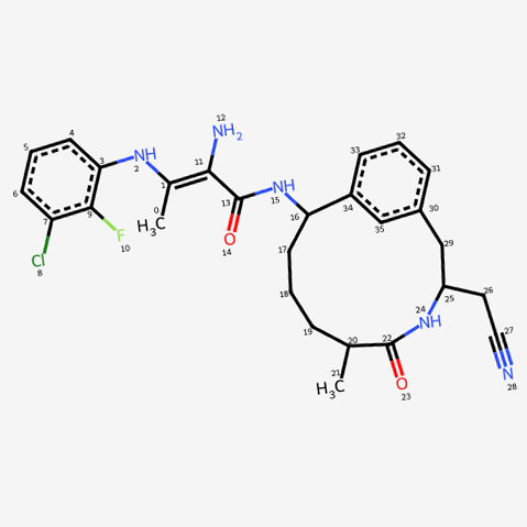 C/C(Nc1cccc(Cl)c1F)=C(/N)C(=O)NC1CCCC(C)C(=O)NC(CC#N)Cc2cccc1c2